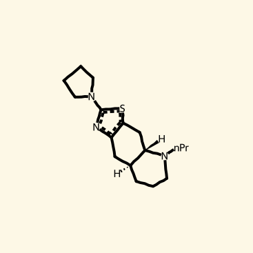 CCCN1CCC[C@H]2Cc3nc(N4CCCC4)sc3C[C@@H]21